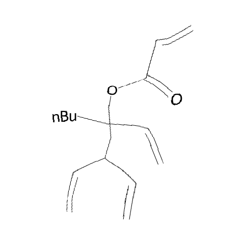 C=CC(=O)OC(C=C)(CCCC)C(C=C)C=C